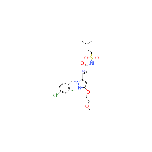 COCCOc1cc(/C=C/C(=O)NS(=O)(=O)CCC(C)C)n(Cc2ccc(Cl)cc2Cl)n1